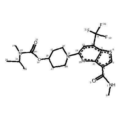 CNC(=O)c1csc2c(C(F)(F)F)cc(N3CCC(OC(=O)N(C)C(C)C)CC3)nc12